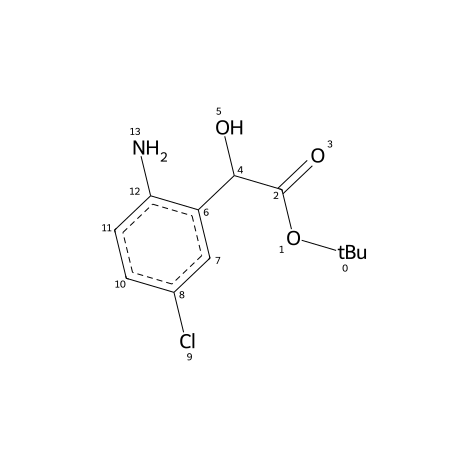 CC(C)(C)OC(=O)C(O)c1cc(Cl)ccc1N